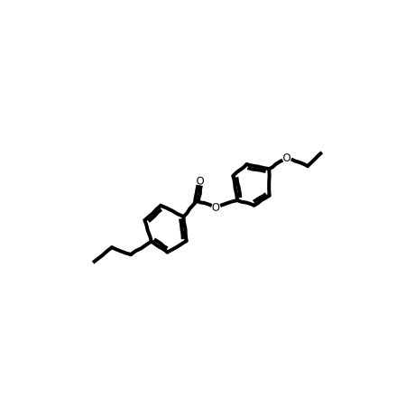 CCCc1ccc(C(=O)Oc2ccc(OCC)cc2)cc1